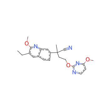 CCc1cc2ccc(C(C)(C#N)CCOc3nccc(OC)n3)cc2nc1OC